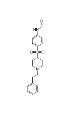 O=CNc1ccc(S(=O)(=O)C2CCN(CCc3ccccc3)CC2)cc1